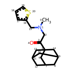 CN(CC(=O)C12CC3CC(CC(C3)C1)C2)Cc1cccs1